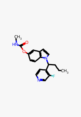 CCCC(c1ccncc1F)n1ccc2cc(OC(=O)NC)ccc21